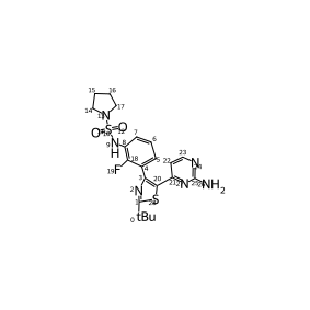 CC(C)(C)c1nc(-c2cccc(NS(=O)(=O)N3CCCC3)c2F)c(-c2ccnc(N)n2)s1